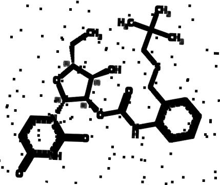 CC[C@H]1O[C@@H](n2ccc(=O)[nH]c2=O)[C@H](OC(=O)Nc2ccccc2CSCC(C)(C)C)[C@@H]1O